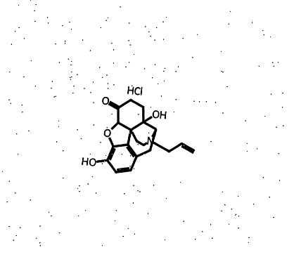 C=CCN1CCC23c4c5ccc(O)c4OC2C(=O)CCC3(O)C1C5.Cl